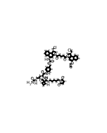 NC(=O)NCCC[C@H](NC(=O)C1(C(=O)NCCCCCN2C(=O)C=CC2=O)CCC1)C(=O)Nc1ccc(COC(=O)Nc2cc3c(c4ccccc24)[C@H](CCl)CN3C(=O)CCCC(=O)N2C[C@@H](CCl)c3c2cc(OP=O)c2ccccc32)cc1